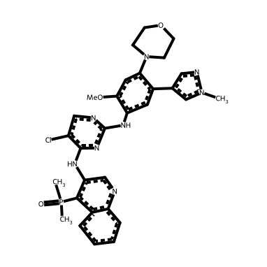 COc1cc(N2CCOCC2)c(-c2cnn(C)c2)cc1Nc1ncc(Cl)c(Nc2cnc3ccccc3c2P(C)(C)=O)n1